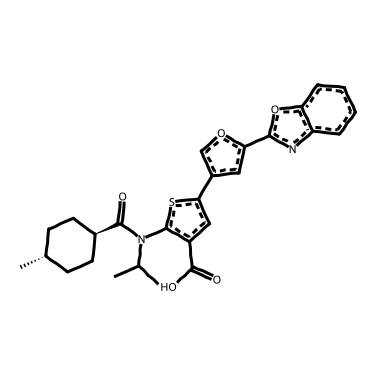 CC(C)N(c1sc(-c2coc(-c3nc4ccccc4o3)c2)cc1C(=O)O)C(=O)[C@H]1CC[C@H](C)CC1